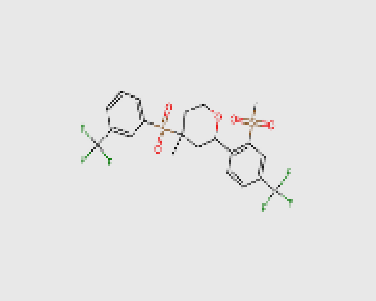 CC1(S(=O)(=O)c2cccc(C(F)(F)F)c2)CCOC(c2ccc(C(F)(F)F)cc2S(C)(=O)=O)C1